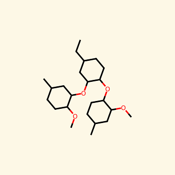 CCC1CCC(OC2CCC(C)CC2OC)C(OC2CC(C)CCC2OC)C1